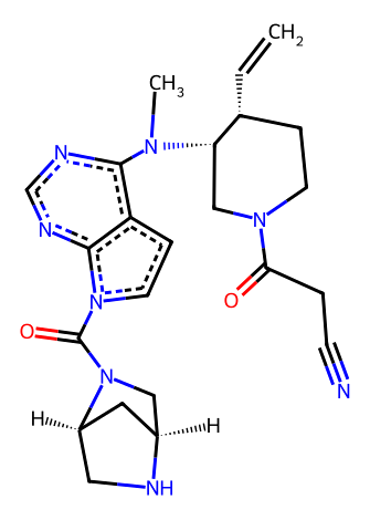 C=C[C@@H]1CCN(C(=O)CC#N)C[C@@H]1N(C)c1ncnc2c1ccn2C(=O)N1C[C@@H]2C[C@H]1CN2